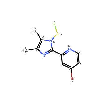 Cc1nc(-c2cc(Br)ccn2)n(SF)c1C